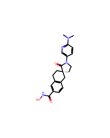 CN(C)c1ccc(N2CC[C@]3(CCc4cc(C(=O)NO)ccc4C3)C2=O)cn1